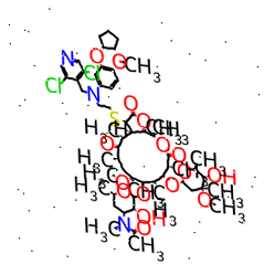 COc1ccc(N(CCS[C@@H]2C(=O)O[C@@]3(C)[C@H]2[C@@H](C)C(=O)[C@H](C)C[C@@](C)(OC)[C@H](O[C@@H]2O[C@H](C)C[C@H](N(C)C(C)=O)[C@H]2O)[C@@H](C)[C@H](O[C@H]2C[C@@](C)(OC)[C@@H](O)[C@H](C)O2)[C@@H](C)C(=O)O[C@@H]3C)Cc2c(Cl)cncc2Cl)cc1OC1CCCC1